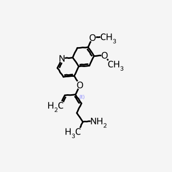 C=C/C(=C\CC(C)N)OC1=CC=NC2CC(OC)=C(OC)C=C12